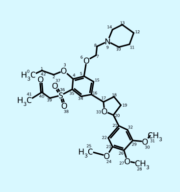 CCCOc1c(OCCN2CCCCC2)cc(C2CCC(c3cc(OC)c(OC)c(OC)c3)O2)cc1S(=O)(=O)CC(C)=O